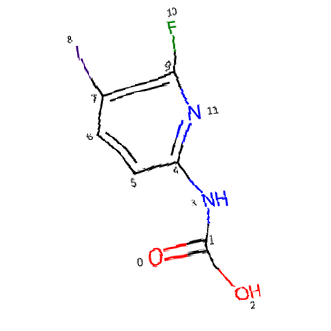 O=C(O)Nc1ccc(I)c(F)n1